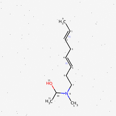 C/C=C/C/C=C/CCN(C)C(C)O